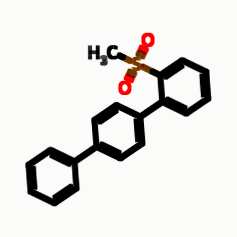 CS(=O)(=O)c1ccccc1-c1ccc(-c2ccccc2)cc1